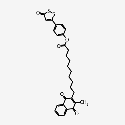 CC1=C(CCCCCCCCCC(=O)Oc2ccc(-c3cc(=O)ss3)cc2)C(=O)c2ccccc2C1=O